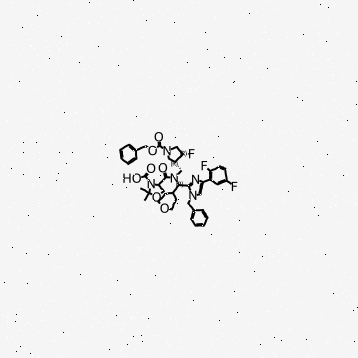 CC1(C)OCC(C(=O)N(C[C@@H]2CN(C(=O)OCc3ccccc3)C[C@@H]2F)[C@@H](c2nc(-c3cc(F)ccc3F)cn2Cc2ccccc2)C2CCOCC2)N1C(=O)O